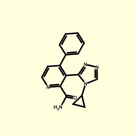 NC(=O)c1nccc(-c2ccccc2)c1-c1nncn1C1CC1